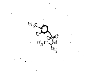 Cc1ccc(CS(=O)(=O)NC(C)C)cc1Cl